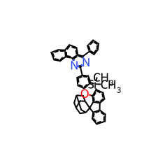 C[Si]1(C)c2cc(-c3nc(-c4ccccc4)c4ccc5ccccc5c4n3)ccc2Oc2c1ccc1c2C2(c3ccccc3-1)C1CC3CC(C1)CC2C3